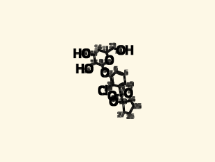 COC1(c2cccc(OC3OC(CO)CC(O)C3O)c2Cl)OOC12CCCC2